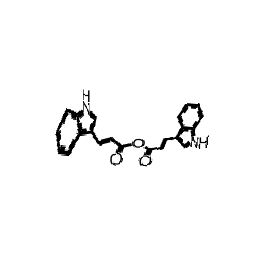 O=C(C=Cc1c[nH]c2ccccc12)OC(=O)C=Cc1c[nH]c2ccccc12